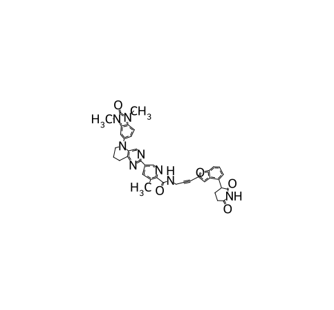 Cc1cc(-c2ncc3c(n2)CCCN3c2ccc3c(c2)n(C)c(=O)n3C)cnc1C(=O)NCC#Cc1cc2c(C3CCC(=O)NC3=O)cccc2o1